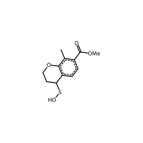 COC(=O)c1ccc2c(c1C)OCCC2SO